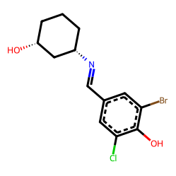 Oc1c(Cl)cc(C=N[C@H]2CCC[C@@H](O)C2)cc1Br